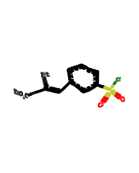 CCOC(=O)/C(=C/c1cccc(S(=O)(=O)Cl)c1)CC